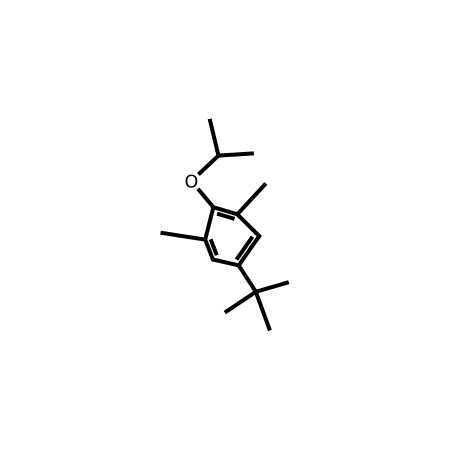 Cc1cc(C(C)(C)C)cc(C)c1OC(C)C